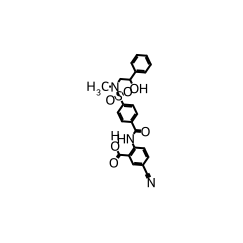 CN(CC(O)c1ccccc1)S(=O)(=O)c1ccc(C(=O)Nc2ccc(C#N)cc2C(=O)O)cc1